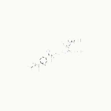 CC(C)=NNc1ccc(C(=O)NCCCCC(C(=O)O)N(CC(=O)O)CC(=O)O)cn1